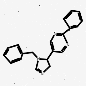 C1=NCC(c2cnc(-c3ccccc3)nc2)N1Cc1ccccc1